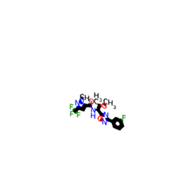 CO[C@H](C)[C@H](NC(=O)c1cc(C(F)(F)F)nn1C)c1nc(-c2cccc(F)c2)no1